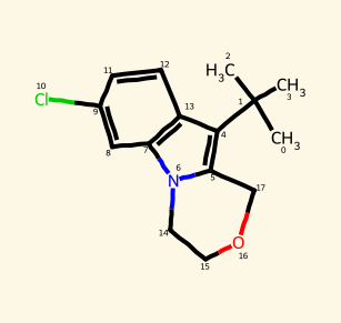 CC(C)(C)c1c2n(c3cc(Cl)ccc13)CCOC2